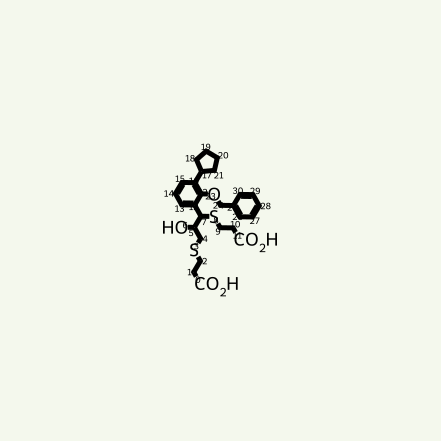 O=C(O)CCSCC(O)C(SCCC(=O)O)c1cccc(C2CCCC2)c1OCc1ccccc1